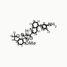 COc1ccc2c(c1S(=O)(=O)NC(=O)c1ccc3c(-n4cc(N)c(C)n4)cccc3n1)OC(C)(C)C2